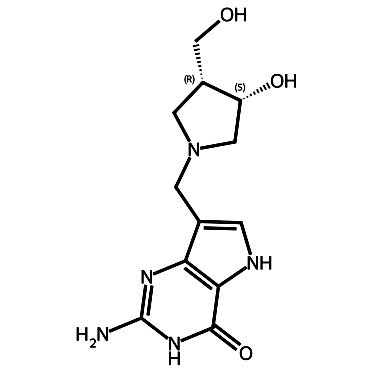 Nc1nc2c(CN3C[C@H](CO)[C@H](O)C3)c[nH]c2c(=O)[nH]1